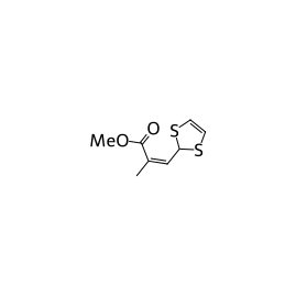 COC(=O)C(C)=CC1SC=CS1